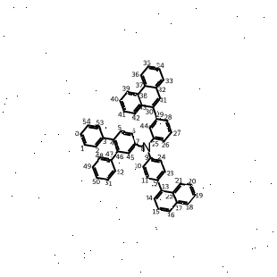 c1ccc(-c2ccc(N(c3ccc(-c4cccc5ccccc45)cc3)c3cccc(-c4cc5ccccc5c5ccccc45)c3)cc2-c2ccccc2)cc1